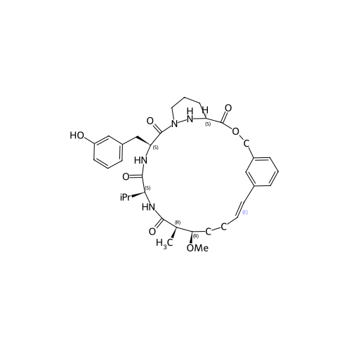 CO[C@@H]1CC/C=C/c2cccc(c2)COC(=O)[C@@H]2CCCN(N2)C(=O)[C@H](Cc2cccc(O)c2)NC(=O)[C@H](C(C)C)NC(=O)[C@@H]1C